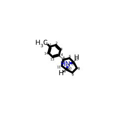 Cc1ccc([C@@H]2C[C@H]3CC[C@@H](C2)N3)cc1